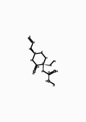 C=CC[C@H]1CC[C@@](CC)(CC(=O)OC)C(=O)C1